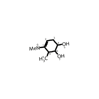 CNC1=CCC(O)C(O)C1C